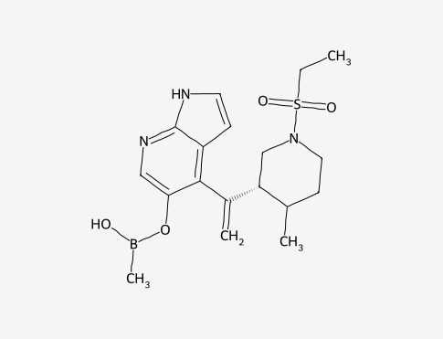 C=C(c1c(OB(C)O)cnc2[nH]ccc12)[C@@H]1CN(S(=O)(=O)CC)CCC1C